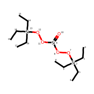 CC[Si](CC)(CC)OO[Si](=O)OO[Si](CC)(CC)CC